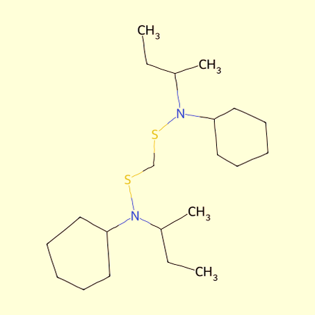 CCC(C)N(SCSN(C(C)CC)C1CCCCC1)C1CCCCC1